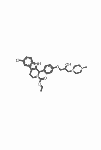 CCOC(=O)N1CCc2c([nH]c3ccc(Cl)cc23)C1c1ccc(OCC(O)CN2CCN(C)CC2)cc1